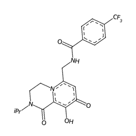 CC(C)N1CCn2c(CNC(=O)c3ccc(C(F)(F)F)cc3)cc(=O)c(O)c2C1=O